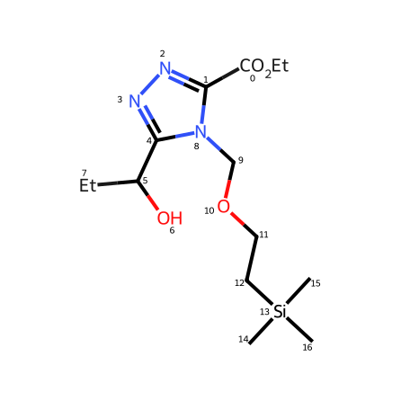 CCOC(=O)c1nnc(C(O)CC)n1COCC[Si](C)(C)C